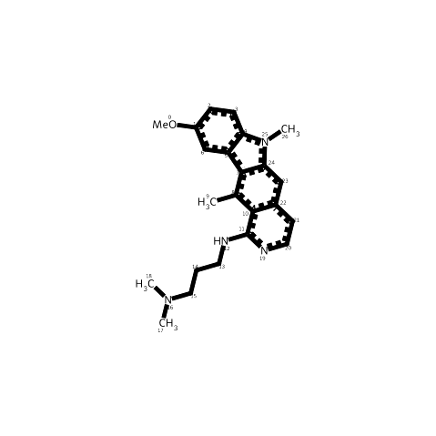 COc1ccc2c(c1)c1c(C)c3c(NCCCN(C)C)nccc3cc1n2C